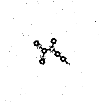 N#Cc1ccc(-c2ccc(-c3nc(-c4ccccc4)nc(-c4cc(-c5nc6ccccc6o5)cc(-c5nc6ccccc6o5)c4)n3)cc2)cc1